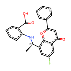 C[C@@H](Nc1ccccc1C(=O)O)c1cc(F)cc2c(=O)cc(-c3ccccc3)oc12